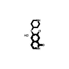 Cl.O=c1[nH]ccc2cc(SC3CCNCC3)c(Cl)cc12